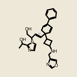 CC(O)c1nccn1C(/C=C/C1(C2CC(NCc3cocn3)C2)C=CC(c2ccccc2)=CC1)CO